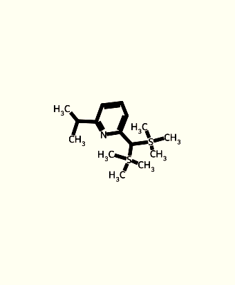 CC(C)c1cccc(C(S(C)(C)C)S(C)(C)C)n1